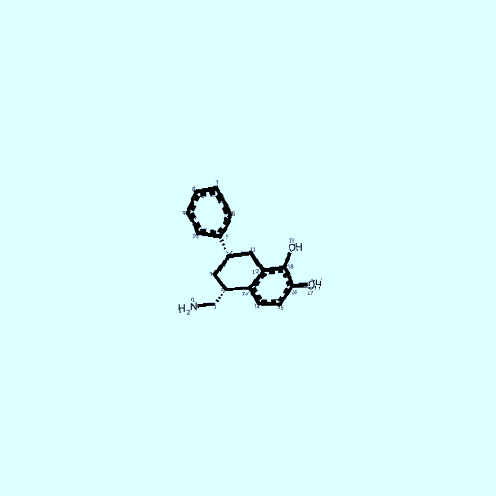 NC[C@@H]1C[C@H](c2ccccc2)Cc2c1ccc(O)c2O